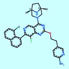 Nc1ccc(CCOc2nc(N3C[C@H]4CC[C@@H](C3)N4)c3cnc(-c4cccc5cccc(Cl)c45)c(F)c3n2)cn1